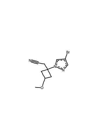 COC1CC(CC#N)(n2cc(Br)cn2)C1